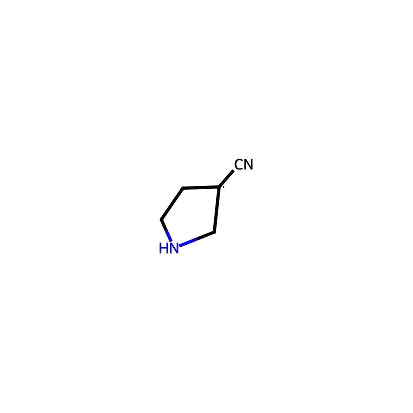 N#C[C]1CCNC1